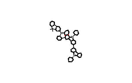 CC1(C)c2ccccc2-c2ccc(N(c3ccccc3)c3ccccc3-c3ccc4c(c3)c3cc(-c5ccc6c(c5)c5ccccc5n6-c5ccccc5)ccc3n4-c3ccccc3)cc21